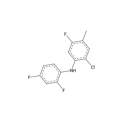 Cc1cc(Cl)c(Nc2ccc(F)cc2F)cc1F